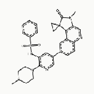 CN1CCN(c2ncc(-c3ccc4ncc5c(c4c3)C3(CC3)C(=O)N5C)cc2NS(=O)(=O)c2ccccc2)CC1